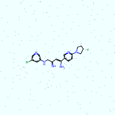 N=C(/C=C(\N)c1ccc(N2CC[C@H](F)C2)nc1)CNc1cncc(Br)c1